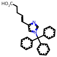 O=C(O)CCC=Cc1cn(C(c2ccccc2)(c2ccccc2)c2ccccc2)cn1